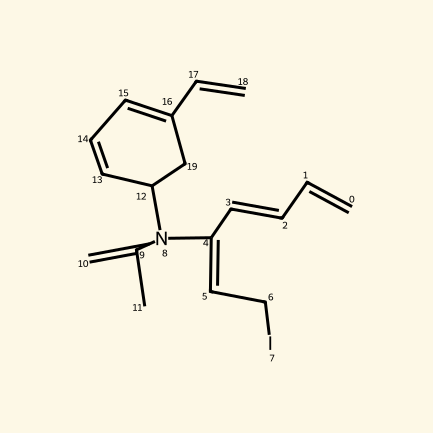 C=C/C=C/C(=C\CI)N(C(=C)C)C1C=CC=C(C=C)C1